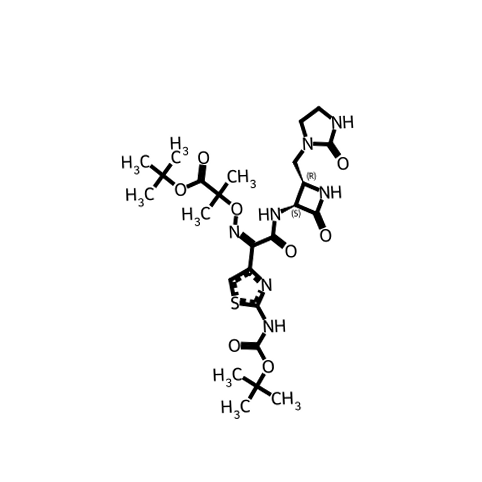 CC(C)(C)OC(=O)Nc1nc(C(=NOC(C)(C)C(=O)OC(C)(C)C)C(=O)N[C@@H]2C(=O)N[C@@H]2CN2CCNC2=O)cs1